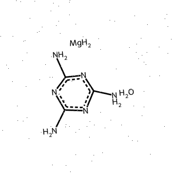 Nc1nc(N)nc(N)n1.O.[MgH2]